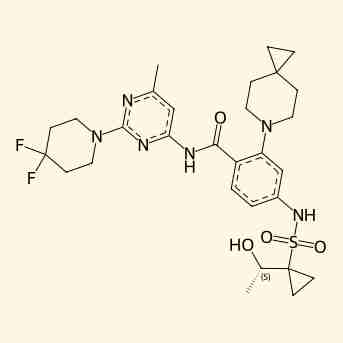 Cc1cc(NC(=O)c2ccc(NS(=O)(=O)C3([C@H](C)O)CC3)cc2N2CCC3(CC2)CC3)nc(N2CCC(F)(F)CC2)n1